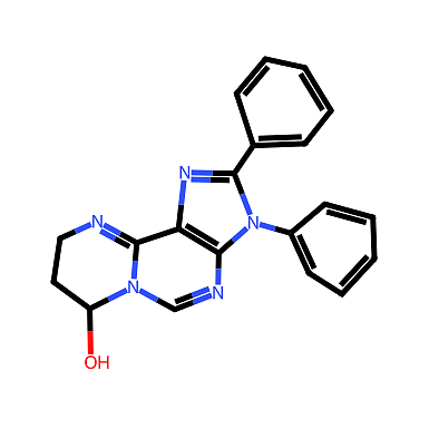 OC1CCN=C2c3nc(-c4ccccc4)n(-c4ccccc4)c3N=CN21